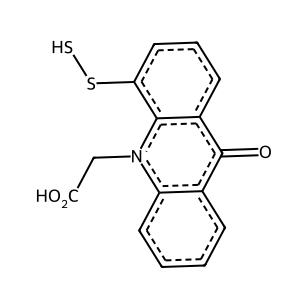 O=C(O)Cn1c2ccccc2c(=O)c2cccc(SS)c21